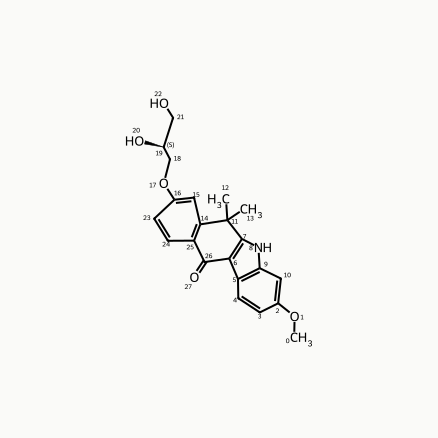 COc1ccc2c3c([nH]c2c1)C(C)(C)c1cc(OC[C@@H](O)CO)ccc1C3=O